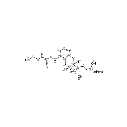 CCCCC[C@@H](O)CC[C@@H]1[C@H]2Cc3cccc(OCC(=O)NCCN)c3C[C@H]2C[C@H]1O